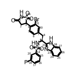 O=C1CC(c2ccc(C[C@H](NS(=O)(=O)c3cccc(F)c3)c3nc4ccccc4[nH]3)cc2Br)S(=O)(=O)N1